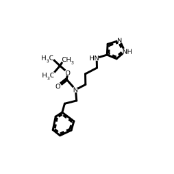 CC(C)(C)OC(=O)N(CCCNc1cn[nH]c1)CCc1ccccc1